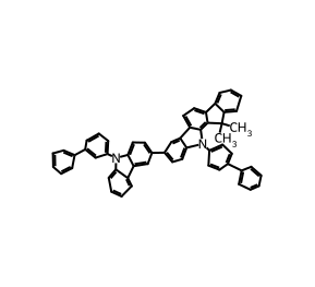 CC1(C)c2ccccc2-c2ccc3c4cc(-c5ccc6c(c5)c5ccccc5n6-c5cccc(-c6ccccc6)c5)ccc4n(-c4ccc(-c5ccccc5)cc4)c3c21